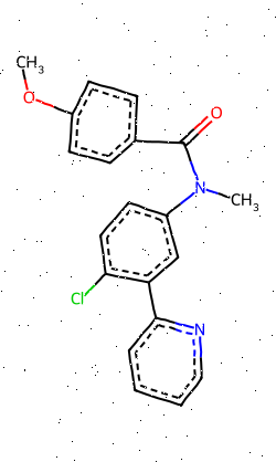 COc1ccc(C(=O)N(C)c2ccc(Cl)c(-c3ccccn3)c2)cc1